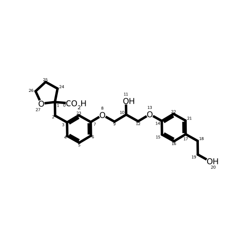 O=C(O)C1(Cc2cccc(OCC(O)COc3ccc(CCO)cc3)c2)CCCO1